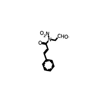 O=[C]CN(C(=O)C=Cc1ccccc1)[N+](=O)[O-]